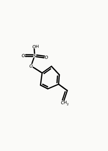 C=Cc1ccc(OS(=O)(=O)O)cc1